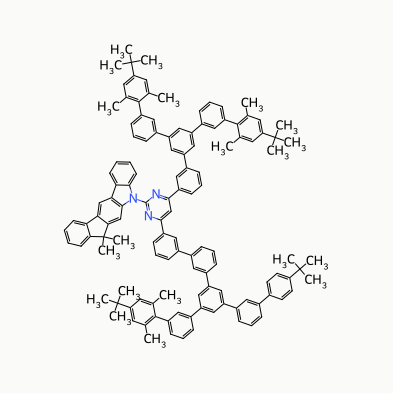 Cc1cc(C(C)(C)C)cc(C)c1-c1cccc(-c2cc(-c3cccc(-c4ccc(C(C)(C)C)cc4)c3)cc(-c3cccc(-c4cccc(-c5cc(-c6cccc(-c7cc(-c8cccc(-c9c(C)cc(C(C)(C)C)cc9C)c8)cc(-c8cccc(-c9c(C)cc(C(C)(C)C)cc9C)c8)c7)c6)nc(-n6c7ccccc7c7cc8c(cc76)C(C)(C)c6ccccc6-8)n5)c4)c3)c2)c1